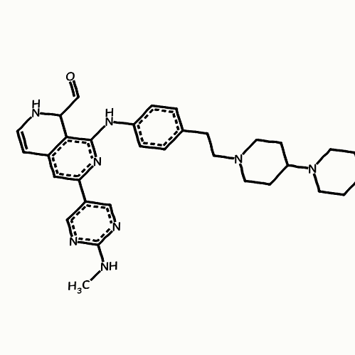 CNc1ncc(-c2cc3c(c(Nc4ccc(CCN5CCC(N6CCOCC6)CC5)cc4)n2)C(C=O)NC=C3)cn1